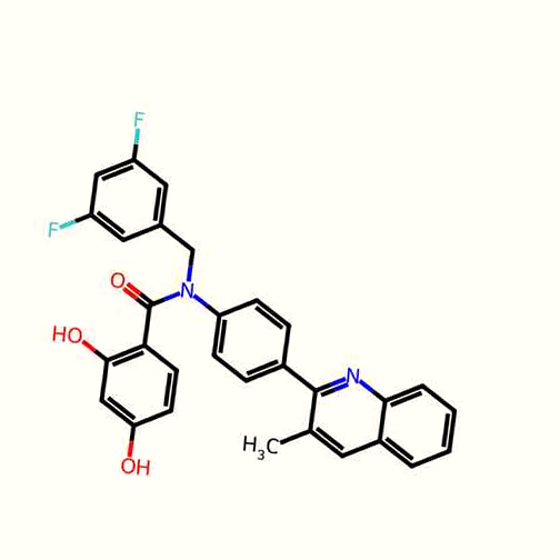 Cc1cc2ccccc2nc1-c1ccc(N(Cc2cc(F)cc(F)c2)C(=O)c2ccc(O)cc2O)cc1